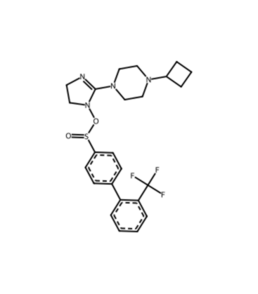 O=S(ON1CCN=C1N1CCN(C2CCC2)CC1)c1ccc(-c2ccccc2C(F)(F)F)cc1